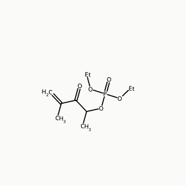 C=C(C)C(=O)C(C)OP(=O)(OCC)OCC